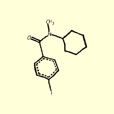 CN(C(=O)c1ccc(I)cc1)C1CCCCC1